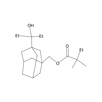 CCC(C)(C)C(=O)OCC12CC3CC(C1)CC(C(O)(CC)CC)(C3)C2